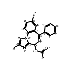 CC(=O)OC1N=C(c2ccccc2)c2cc(F)ccc2-n2cc(C)nc21